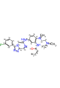 C=CC(=O)Nc1cc(Nc2cn3c(-c4cccc(F)c4)nnc3cn2)ccc1N(C)CCN(C)C